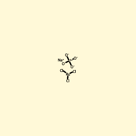 [Cl][Ru]([Cl])[Cl].[Na+].[O-][I+3]([O-])([O-])[O-]